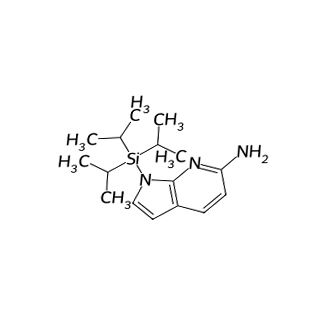 CC(C)[Si](C(C)C)(C(C)C)n1ccc2ccc(N)nc21